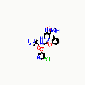 CNC(=O)[C@]1(Cc2ccccc2)CN(C(=O)[C@@H](COc2cncc(Cl)c2)NC(=O)C(C)(C)N)CCC1=N